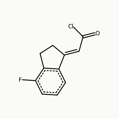 O=C(Cl)/C=C1\CCc2c(F)cccc21